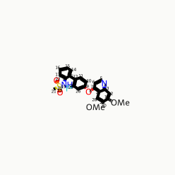 COc1cc2nccc(Oc3ccc(-c4ccccc4NS(C)(=O)=O)c(F)c3)c2cc1OC